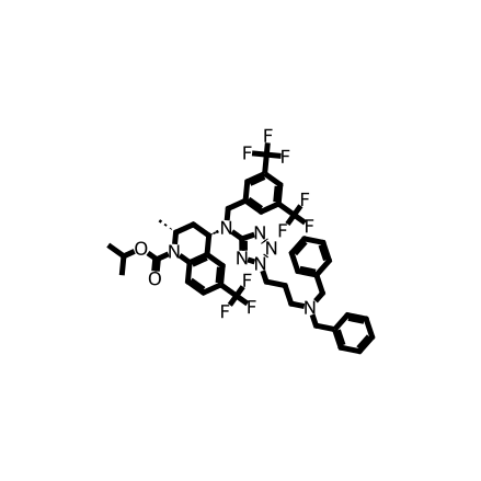 CC(C)OC(=O)N1c2ccc(C(F)(F)F)cc2[C@@H](N(Cc2cc(C(F)(F)F)cc(C(F)(F)F)c2)c2nnn(CCCN(Cc3ccccc3)Cc3ccccc3)n2)C[C@H]1C